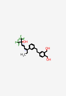 CC/C(=C/C=C/C(O)(C(F)(F)F)C(F)(F)F)c1cccc(CCc2ccc(CO)c(CO)c2)c1